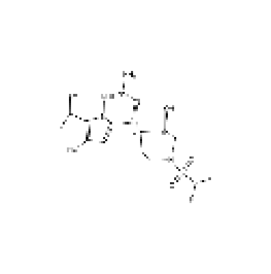 CC(C)C(C)c1c(C#N)cc2c([C@H]3CCN(S(=O)(=O)C(F)F)C[C@@H]3O)nc(N)nn12